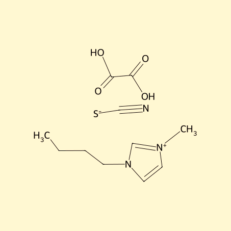 CCCCn1cc[n+](C)c1.N#C[S-].O=C(O)C(=O)O